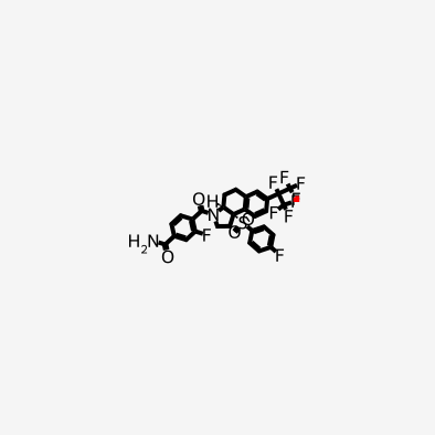 NC(=O)c1ccc(C(=O)N2CC[C@]3(S(=O)(=O)c4ccc(F)cc4)c4ccc(C(F)(C(F)(F)F)C(F)(F)F)cc4CC[C@H]23)c(F)c1